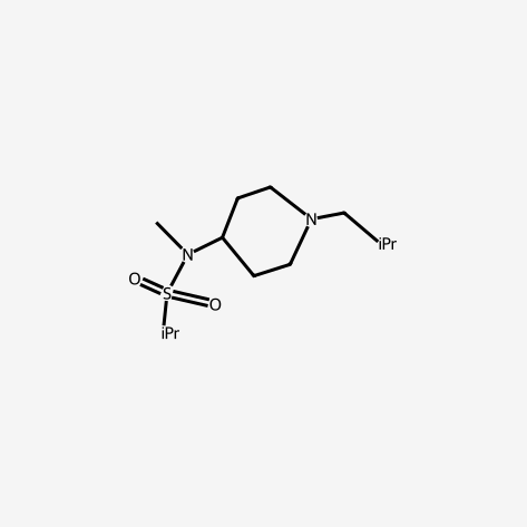 CC(C)CN1CCC(N(C)S(=O)(=O)C(C)C)CC1